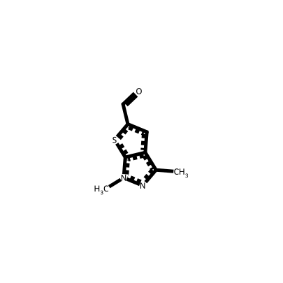 Cc1nn(C)c2sc(C=O)cc12